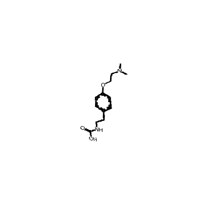 CN(C)CCOc1ccc(CCNC(=O)O)cc1